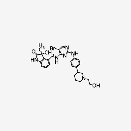 CC1(C)C(=O)Nc2cccc(CNc3nc(Nc4ccc(C5CCCN(CCO)C5)cc4)ncc3Br)c21